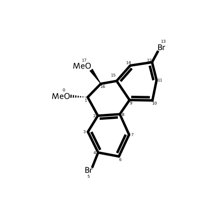 CO[C@H]1c2cc(Br)ccc2-c2ccc(Br)cc2[C@@H]1OC